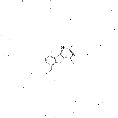 CCc1cccc2c1Cc1c(C)nc(C)nc1-2